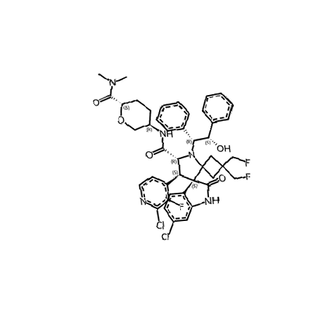 CN(C)C(=O)[C@@H]1CC[C@@H](NC(=O)[C@H]2[C@H](c3ccnc(Cl)c3F)[C@@]3(C(=O)Nc4cc(Cl)ccc43)C3(CC(CF)(CF)C3)N2[C@H](c2ccccc2)[C@@H](O)c2ccccc2)CO1